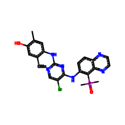 COc1cc(O)c(C)cc1Nc1ncc(Br)c(Nc2ccc3nccnc3c2P(C)(C)=O)n1